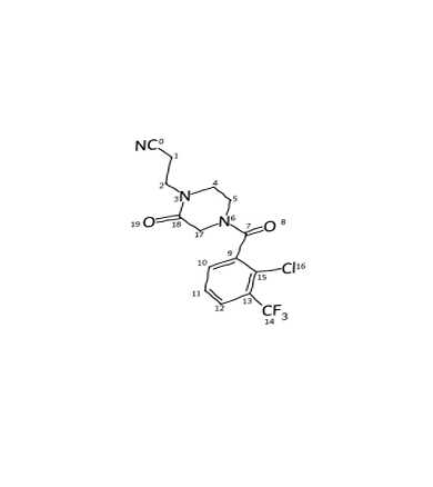 N#CCCN1CCN(C(=O)c2cccc(C(F)(F)F)c2Cl)CC1=O